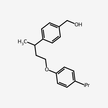 CC(C)c1ccc(OCCC(C)c2ccc(CO)cc2)cc1